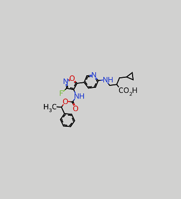 CC(OC(=O)Nc1c(F)noc1-c1ccc(NCC(CC2CC2)C(=O)O)nc1)c1ccccc1